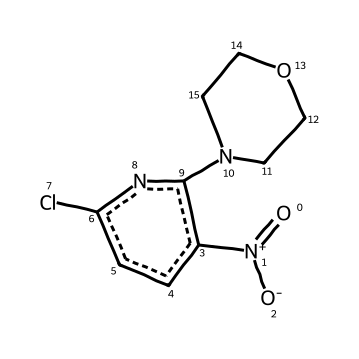 O=[N+]([O-])c1ccc(Cl)nc1N1CCOCC1